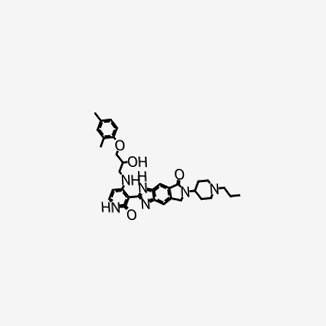 CCCN1CCC(N2Cc3cc4nc(-c5c(NCC(O)COc6ccc(C)cc6C)cc[nH]c5=O)[nH]c4cc3C2=O)CC1